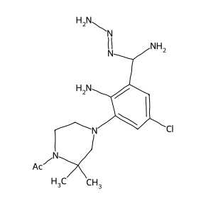 CC(=O)N1CCN(c2cc(Cl)cc(C(N)N=NN)c2N)CC1(C)C